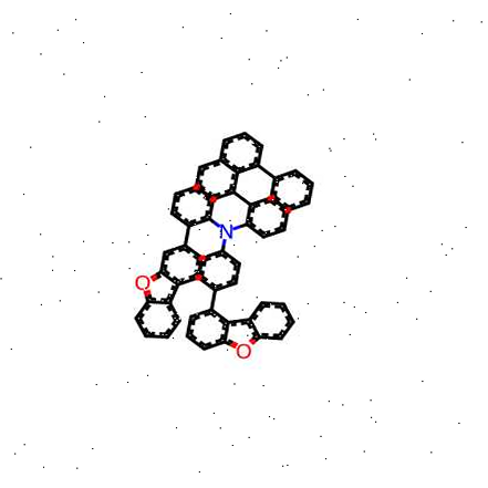 c1ccc(-c2cccc3cccc(-c4ccccc4N(c4ccc(-c5cccc6oc7ccccc7c56)cc4)c4ccccc4-c4ccc5c(c4)oc4ccccc45)c23)cc1